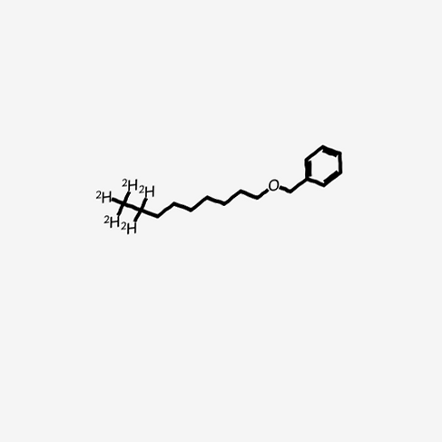 [2H]C([2H])([2H])C([2H])([2H])CCCCCCCOCc1ccccc1